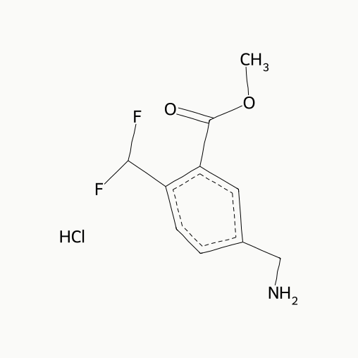 COC(=O)c1cc(CN)ccc1C(F)F.Cl